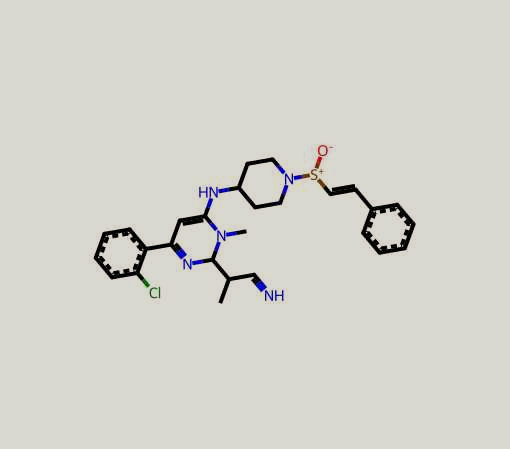 CC(C=N)C1N=C(c2ccccc2Cl)C=C(NC2CCN([S+]([O-])/C=C/c3ccccc3)CC2)N1C